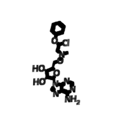 CN(CC(Cl)Oc1ccccc1)OC[C@H]1O[C@@H](n2cnc3c(N)ncnc32)[C@H](O)[C@@H]1O